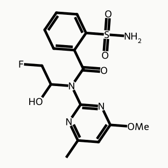 COc1cc(C)nc(N(C(=O)c2ccccc2S(N)(=O)=O)C(O)CF)n1